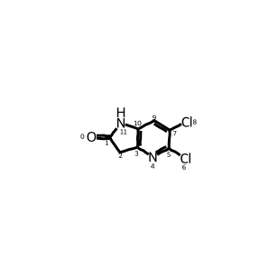 O=C1Cc2nc(Cl)c(Cl)cc2N1